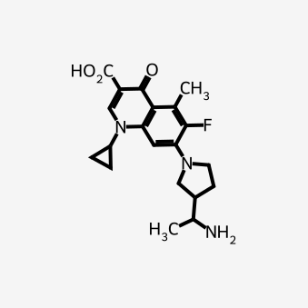 Cc1c(F)c(N2CCC(C(C)N)C2)cc2c1c(=O)c(C(=O)O)cn2C1CC1